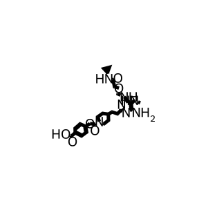 CNc1c(N)nc(CCC2CCN(C(=O)Oc3ccc(C(=O)O)cc3)CC2)nc1NCOCC(=O)NC1CC1